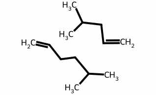 C=CCC(C)C.C=CCCC(C)C